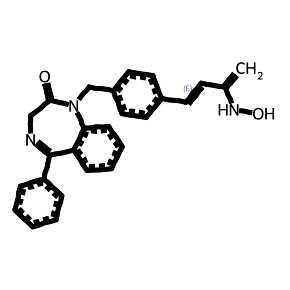 C=C(/C=C/c1ccc(CN2C(=O)CN=C(c3ccccc3)c3ccccc32)cc1)NO